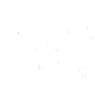 C=C(C)c1c(CC2CCCCC2)nc2c(-c3ccc(-c4ccccc4)nc3)cnn2c1N(COCC[Si](C)(C)C)COCC[Si](C)(C)C